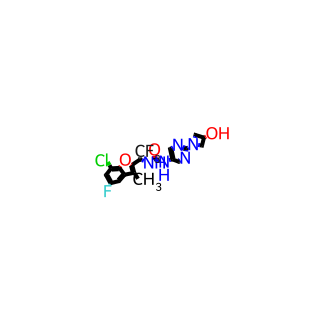 Cc1c(C(NC(=O)Nc2cnc(N3CC(O)C3)nc2)C(F)(F)F)oc2c(Cl)cc(F)cc12